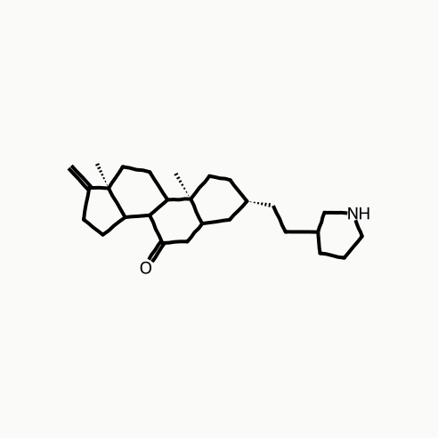 C=C1CCC2C3C(=O)CC4C[C@@H](CCC5CCCNC5)CC[C@]4(C)C3CC[C@]12C